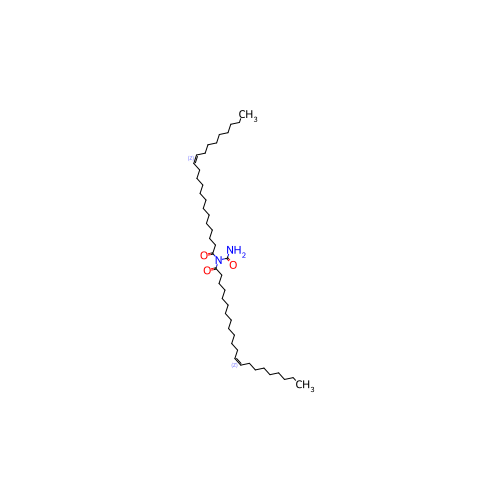 CCCCCCCC/C=C\CCCCCCCCCCCC(=O)N(C(N)=O)C(=O)CCCCCCCCCCC/C=C\CCCCCCCC